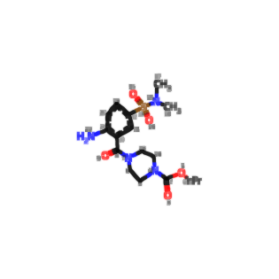 CCCOC(=O)N1CCN(C(=O)c2cc(S(=O)(=O)N(C)C)ccc2N)CC1